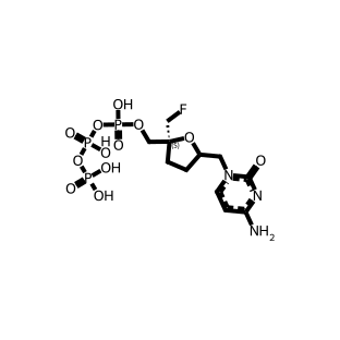 Nc1ccn(CC2CC[C@@](CF)(COP(=O)(O)OP(=O)(O)OP(=O)(O)O)O2)c(=O)n1